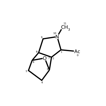 CC(=O)C1C2C3CCC(O3)C2CN1C